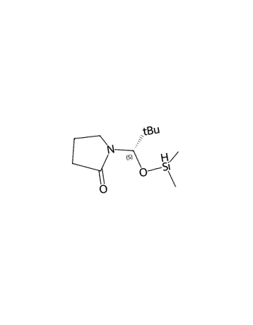 C[SiH](C)O[C@H](N1CCCC1=O)C(C)(C)C